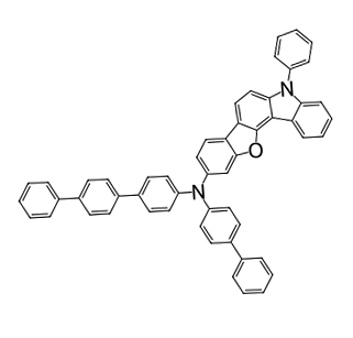 c1ccc(-c2ccc(-c3ccc(N(c4ccc(-c5ccccc5)cc4)c4ccc5c(c4)oc4c5ccc5c4c4ccccc4n5-c4ccccc4)cc3)cc2)cc1